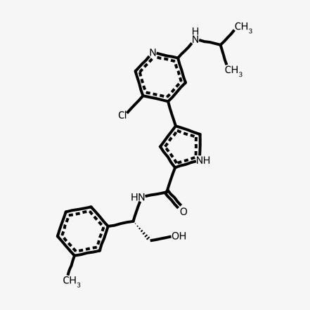 Cc1cccc([C@@H](CO)NC(=O)c2cc(-c3cc(NC(C)C)ncc3Cl)c[nH]2)c1